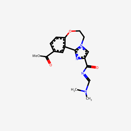 COC(=O)c1ccc2c(c1)-c1nc(C(=O)N=CN(C)C)cn1CCO2